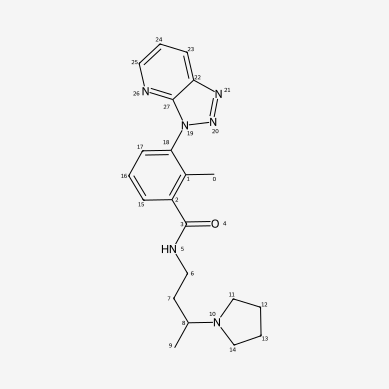 Cc1c(C(=O)NCCC(C)N2CCCC2)cccc1-n1nnc2cccnc21